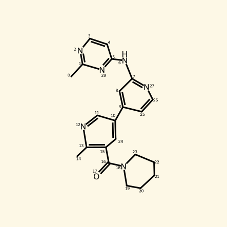 Cc1nccc(Nc2cc(-c3cnc(C)c(C(=O)N4CCCCC4)c3)ccn2)n1